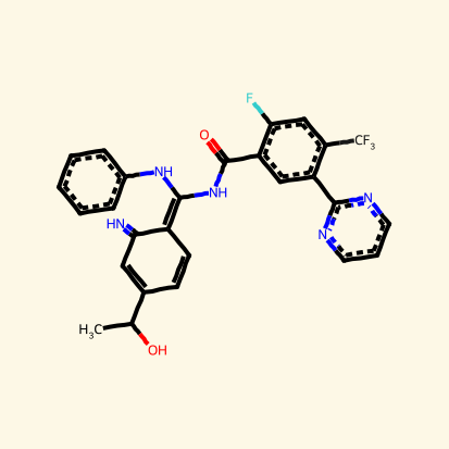 CC(O)C1=CC(=N)/C(=C(/NC(=O)c2cc(-c3ncccn3)c(C(F)(F)F)cc2F)Nc2ccccc2)C=C1